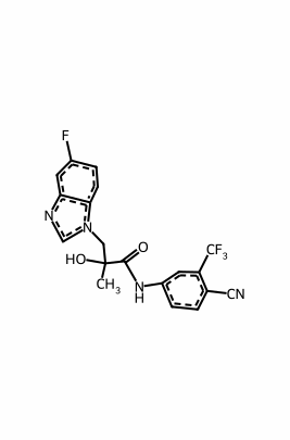 CC(O)(Cn1cnc2cc(F)ccc21)C(=O)Nc1ccc(C#N)c(C(F)(F)F)c1